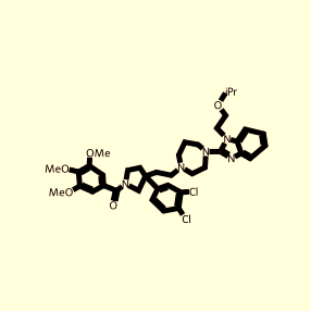 COc1cc(C(=O)N2CCC(CCN3CCCN(c4nc5ccccc5n4CCOC(C)C)CC3)(c3ccc(Cl)c(Cl)c3)C2)cc(OC)c1OC